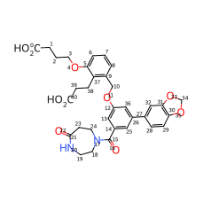 O=C(O)CCCOc1cccc(COc2cc(C(=O)N3CCNC(=O)CC3)cc(-c3ccc4c(c3)OCO4)c2)c1CCC(=O)O